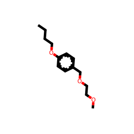 CCCCOc1ccc(COCCOC)cc1